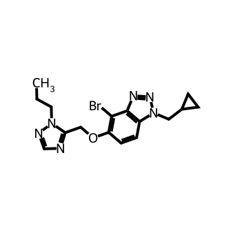 CCCn1ncnc1COc1ccc2c(nnn2CC2CC2)c1Br